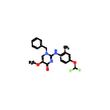 COc1cn(Cc2ccccc2)c(Nc2ccc(OC(F)F)cc2C)nc1=O